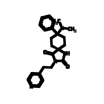 CN(C)[C@]1(c2ccccc2)CC[C@@]2(CC1)NC(=O)N(CCc1ccncc1)C2=O